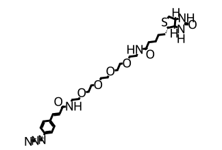 [N-]=[N+]=Nc1ccc(/C=C/C(=O)NCCOCCOCCOCCOCCNC(=O)CCCC[C@@H]2SC[C@@H]3NC(=O)N[C@@H]32)cc1